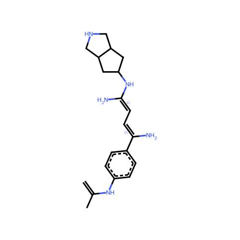 C=C(C)Nc1ccc(/C(N)=C/C=C(\N)NC2CC3CNCC3C2)cc1